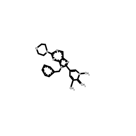 C=C1C(C)=CC(c2nc3cnc(N4CCOCC4)nc3n2Cc2ccccc2)=CN1C